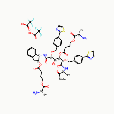 CNC(=O)[C@@H](NC(=O)[C@H](OCc1ccc(-c2nccs2)cc1)[C@H](OC(=O)CCCOC(=O)[C@@H](N)C(C)C)[C@@H](O)[C@@H](OCc1ccc(-c2nccs2)cc1)C(=O)N[C@H]1c2ccccc2C[C@H]1OC(=O)CCCOC(=O)[C@@H](N)C(C)C)C(C)C.O=C(O)C(F)(F)F.O=C(O)C(F)(F)F